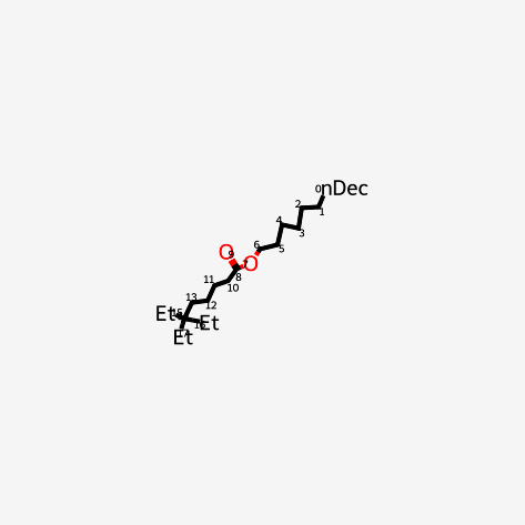 CCCCCCCCCCCCCCCCOC(=O)CCCCC(CC)(CC)CC